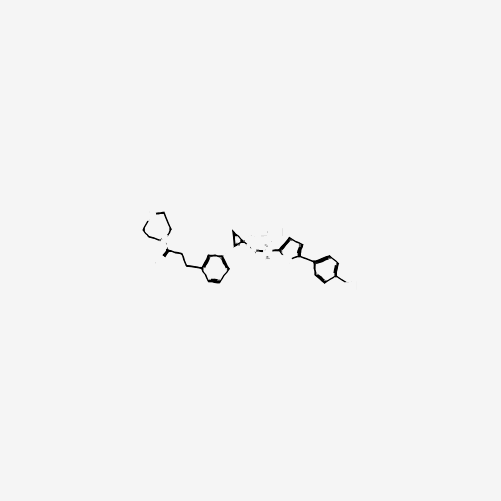 O=C(CCc1cccc([C@@H]2C[C@]2(NS(=O)(=O)c2ccc(-c3ccc(Cl)cc3)s2)C(=O)O)c1)N1CCSCC1